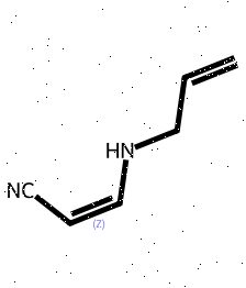 C=CCN/C=C\C#N